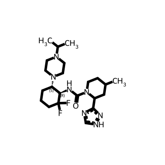 CC1CCN(C(=O)N[C@@H]2[C@@H](N3CCN(C(C)C)CC3)CCCC2(F)F)C(c2nc[nH]n2)C1